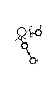 C[C@@H]1[C@H](c2ccc(C#Cc3cccnc3)cc2)[C@@H]2CN(C(=O)Nc3cccc(F)c3)CCCCN12